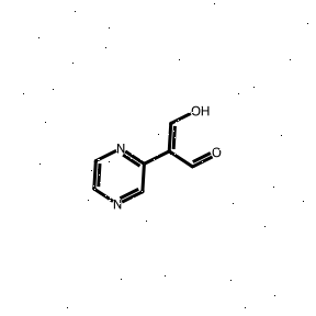 O=C/C(=C\O)c1cnccn1